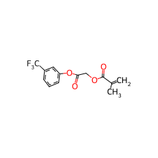 C=C(C)C(=O)OCC(=O)Oc1cccc(C(F)(F)F)c1